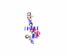 COC1(C(F)c2ccccc2)CCN(c2ccc(C(=N)NS(=O)(=O)c3ccc(N[C@H](CCN(C)C)CSc4ccccc4)c([N+](=O)[O-])c3)cc2)CC1